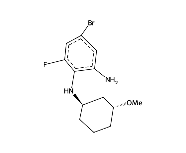 CO[C@@H]1CCC[C@@H](Nc2c(N)cc(Br)cc2F)C1